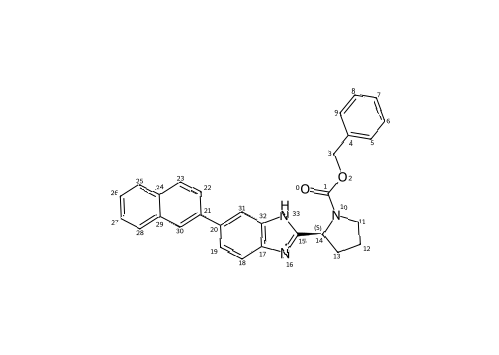 O=C(OCc1ccccc1)N1CCC[C@H]1c1nc2ccc(-c3ccc4ccccc4c3)cc2[nH]1